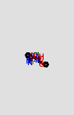 Cl.NC(=O)N(CCOc1ccccc1)CC(O)COc1ccccc1-c1csnn1